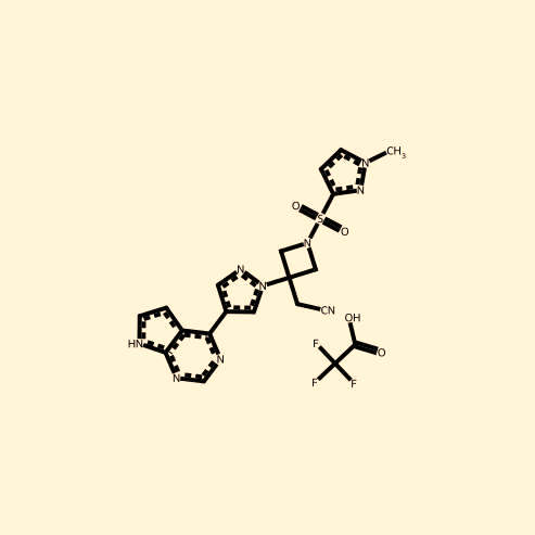 Cn1ccc(S(=O)(=O)N2CC(CC#N)(n3cc(-c4ncnc5[nH]ccc45)cn3)C2)n1.O=C(O)C(F)(F)F